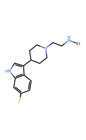 CCNCCN1CCC(c2c[nH]c3cc(F)ccc23)CC1